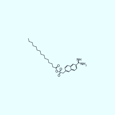 CCCCCCCCCCCCCCC(=O)OS(=O)(=O)Cc1ccc2cc(C(=N)N)ccc2c1